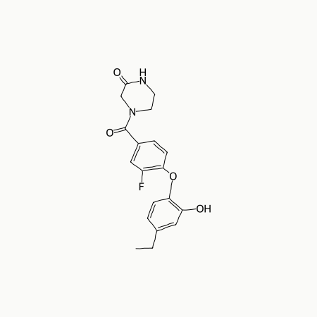 CCc1ccc(Oc2ccc(C(=O)N3CCNC(=O)C3)cc2F)c(O)c1